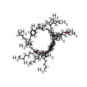 CCCCCC[N+]1(C)CC[N+]2(CCCCCC)CC[N+](C)(CCCCCC)Cc3ccc(cc3)C[N+](C)(CCCCCC)CC[N+](CCCCCC)(CC[N+](C)(CCCCCC)Cc3ccc(cc3)C1)C[N+](C)(CCCCCC)Cc1ccc(cc1)C[N+](C)(CCCCCC)CC2